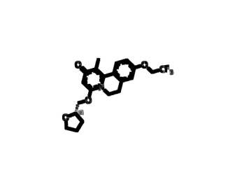 Cc1c2n(c(OC[C@@H]3CCCO3)cc1=O)CCc1cc(OCC(F)(F)F)ccc1-2